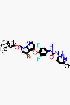 Cc1ccc(NC(=O)Nc2cc(F)c(Oc3ccnc4c3c(Br)cn4COCC[Si](C)(C)C)c(F)c2)nn1